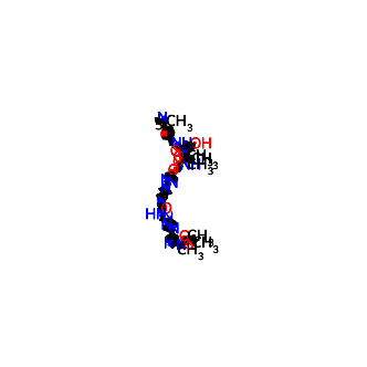 Cc1ncsc1-c1ccc(CNC(=O)[C@@H]2C[C@@H](O)CN2C(=O)[C@@H](NC(=O)COc2cnc(N3CC4(CN(CC(=O)Nc5cn6cc(-c7cncc(N(C)C(=O)OC(C)C)c7)ncc6n5)C4)C3)nc2)C(C)(C)C)cc1